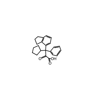 O=C(O)C(=O)C(c1ccccc1)(c1cccc2c1CCC2)C1CCCC1